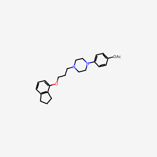 CC(=O)Oc1ccc(N2CCN(CCCOc3cccc4c3CCC4)CC2)cc1